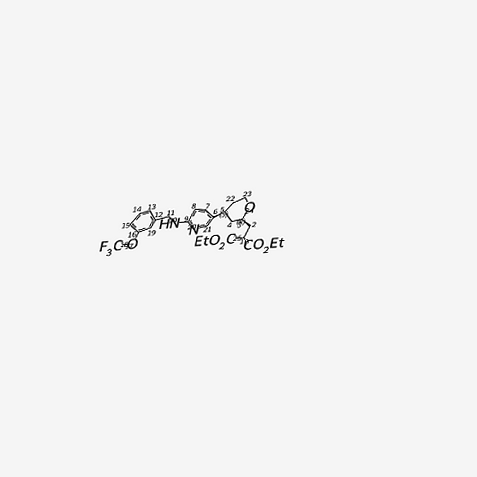 CCOC(=O)C(C[C@H]1C[C@@H](c2ccc(NCc3cccc(OC(F)(F)F)c3)nc2)CCO1)C(=O)OCC